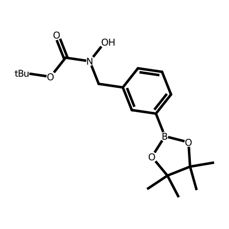 CC(C)(C)OC(=O)N(O)Cc1cccc(B2OC(C)(C)C(C)(C)O2)c1